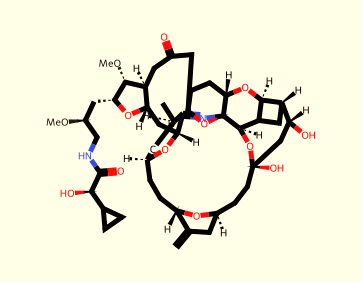 C=C1C[C@@H]2CC[C@@]3(O)C[C@@H](O)[C@@H]4CC5[C@H]4O[C@H]4CC[C@@H]6CC(=O)C[C@@H]7[C@@H](OC)[C@@H](C[C@@H](CNC(=O)[C@H](O)C8CC8)OC)O[C@H]7C[C@H]7O[C@@H](CC[C@@H]1O2)C[C@@H](C)/C7=N/[C@@]4(O6)[C@@H]5O3